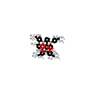 Cc1cc(C)c(B2c3cc(C(C)(C)C)ccc3-n3c4ccc(C(C)(C)C)cc4c(=O)c4cc(-c5c(N(c6ccc(C(C)(C)C)cc6)c6ccc(C(C)(C)C)cc6)cccc5N(c5ccc(C(C)(C)C)cc5)c5ccc(C(C)(C)C)cc5)cc2c43)c(C)c1